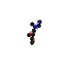 c1ccc(-c2cc(-c3ccc(-c4ccc(-c5ccc6c(c5)sc5ccccc56)c5c4oc4ccccc45)cc3)nc(-c3cccc(-c4ccccn4)c3)n2)cc1